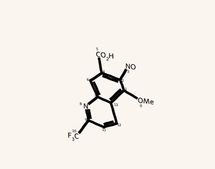 COc1c(N=O)c(C(=O)O)cc2nc(C(F)(F)F)ccc12